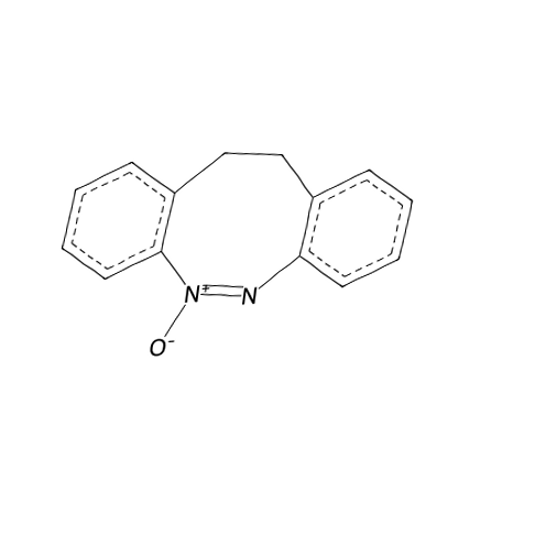 [O-][N+]1=Nc2ccccc2CCc2ccccc21